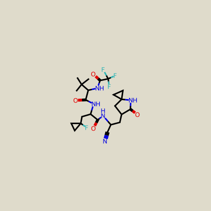 CC(C)(C)C(NC(=O)C(F)(F)F)C(=O)NC(CC1(F)CC1)C(=O)NC(C#N)CC1CC2(CC2)NC1=O